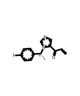 C=CC(=O)c1cncn1[C@H](C)c1ccc(F)cc1